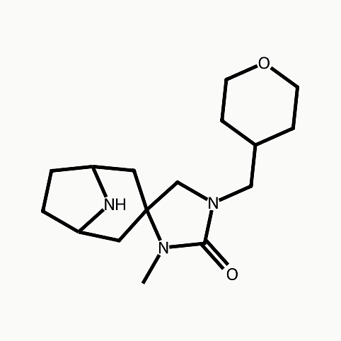 CN1C(=O)N(CC2CCOCC2)CC12CC1CCC(C2)N1